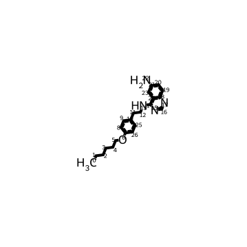 CCCCCCOc1ccc(CCNc2ncnc3ccc(N)cc23)cc1